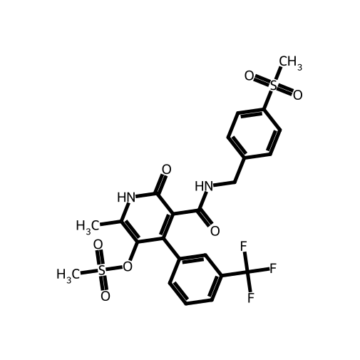 Cc1[nH]c(=O)c(C(=O)NCc2ccc(S(C)(=O)=O)cc2)c(-c2cccc(C(F)(F)F)c2)c1OS(C)(=O)=O